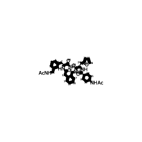 CC(=O)NCc1cccc(C[C@H](NC(=O)Cc2ccccc2CNC(=O)[C@H](Cc2ccco2)NC(=O)[C@H]2CC[C@@H](NC(C)=O)CC2)C(N)=O)c1